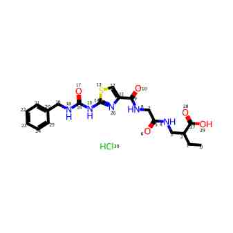 CCC(CNC(=O)CNC(=O)c1csc(NC(=O)NCc2ccccc2)n1)C(=O)O.Cl